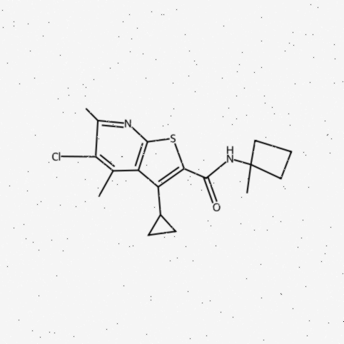 Cc1nc2sc(C(=O)NC3(C)CCC3)c(C3CC3)c2c(C)c1Cl